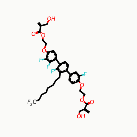 C=C(CO)C(=O)OCCOc1ccc(-c2ccc(-c3ccc(OCCOC(=O)C(=C)CO)c(F)c3F)c(F)c2CCCCCCCC(F)(F)F)cc1F